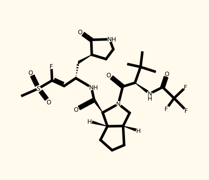 CC(C)(C)[C@@H](NC(=O)C(F)(F)F)C(=O)N1C[C@@H]2CCC[C@@H]2[C@H]1C(=O)N[C@H](/C=C(\F)S(C)(=O)=O)C[C@@H]1CCNC1=O